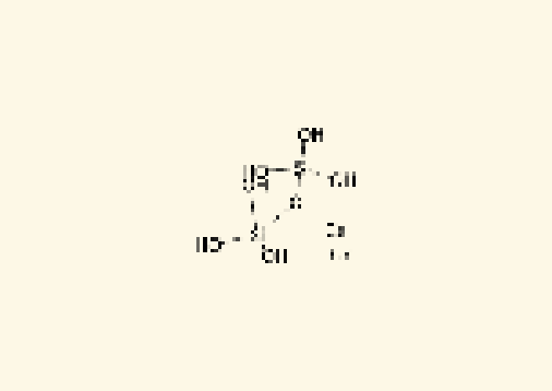 O[Si](O)(O)O[Si](O)(O)O.[Ce].[Gd]